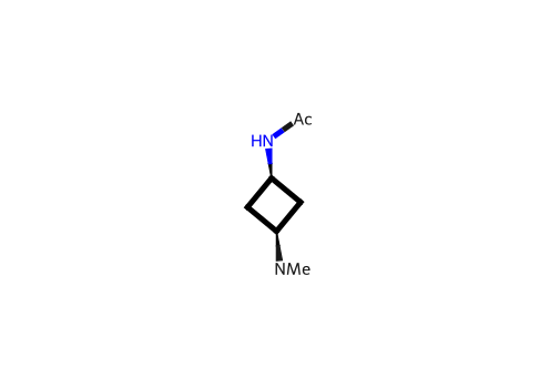 CN[C@H]1C[C@@H](NC(C)=O)C1